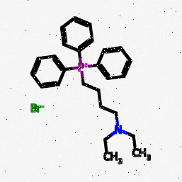 CCN(CC)CCCC[P+](c1ccccc1)(c1ccccc1)c1ccccc1.[Br-]